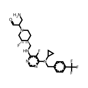 NCC(C=O)N1CC[C@@H](CNc2ncnc(N(Cc3ccc(C(F)(F)F)cc3)C3CC3)c2F)[C@H](F)C1